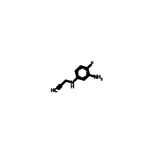 C#CCNc1ccc(F)c(N)c1